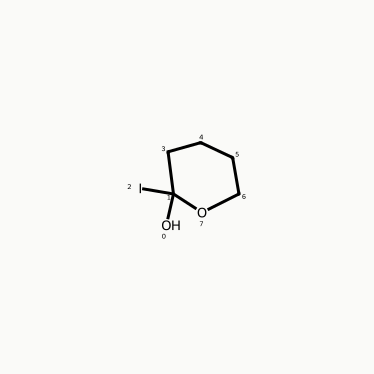 OC1(I)CCCCO1